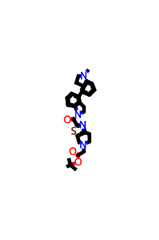 CN1CCc2c(-c3cccc4c3CCN4C(=O)c3nc4c(s3)CN(CC(=O)OC(C)(C)C)CC4)cccc21